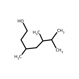 CC(CCO)CC(C)C(C)C